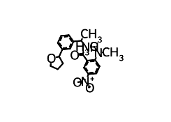 CC(NC(=O)c1cc([N+](=O)[O-])ccc1N(C)C)c1cccc(C2CCCO2)c1